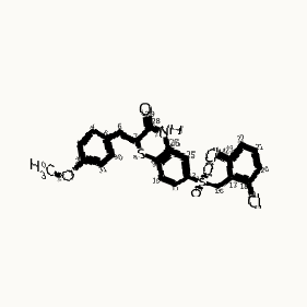 COc1ccc(/C=C2\Sc3ccc(S(=O)(=O)Cc4c(Cl)cccc4Cl)cc3NC2=O)cc1